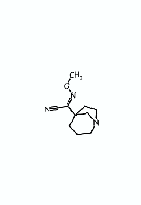 CON=C(C#N)C12CCCN(CC1)C2